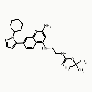 CC(C)(C)OC(=O)NCCNc1cc(N)nc2cc(-c3ccnn3C3CCCCO3)ccc12